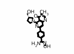 Cn1cnc2cc(-c3ccc(C(N)=NO)cc3)nc(N3CC[C@H](CO)C3)c2c1=O